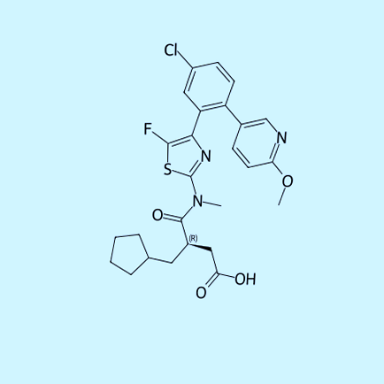 COc1ccc(-c2ccc(Cl)cc2-c2nc(N(C)C(=O)[C@@H](CC(=O)O)CC3CCCC3)sc2F)cn1